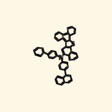 c1ccc(-c2ccc(N(c3ccc(-c4cccc5ccccc45)cc3)c3cc4c(sc5c6ccccc6c6ccccc6c45)c4ccccc34)cc2)cc1